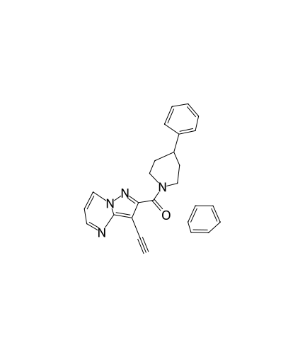 C#Cc1c(C(=O)N2CCC(c3ccccc3)CC2)nn2cccnc12.c1ccccc1